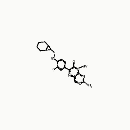 CC(C)n1c(=O)c(-c2ccc(NSC3C4CCCCC43)c(F)c2)nc2cnc(N)nc21